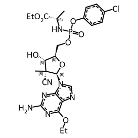 CCOC(=O)[C@H](C)NP(=O)(OC[C@H]1O[C@@H](n2cnc3c(OCC)nc(N)nc32)[C@](C)(C#N)[C@@H]1O)Oc1ccc(Cl)cc1